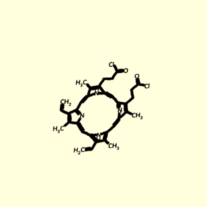 C=CC1=C(C)c2cc3[nH]c(cc4nc(cc5[nH]c(cc1n2)c(C)c5CCC(=O)Cl)C(CCC(=O)Cl)=C4C)c(C)c3C=C